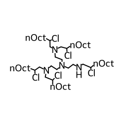 CCCCCCCCC(Cl)CNCCN(CCN(CC(Cl)CCCCCCCC)CC(Cl)CCCCCCCC)CCN(CC(Cl)CCCCCCCC)CC(Cl)CCCCCCCC